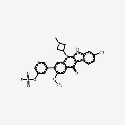 CN1CC(n2c3cc(-c4cncc(OS(=O)(=O)F)c4)c(OC(F)(F)F)cc3c(=O)c3c4ccc(C#N)cc4[nH]c32)C1